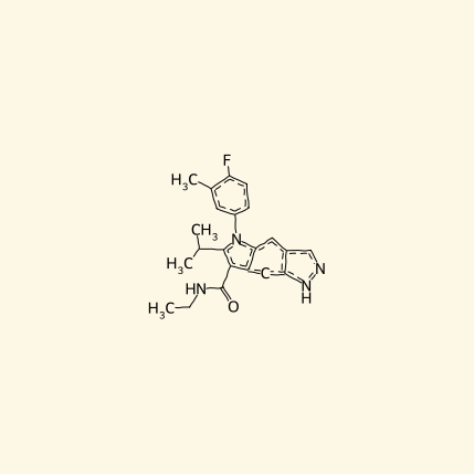 CCNC(=O)c1c(C(C)C)n(-c2ccc(F)c(C)c2)c2cc3cn[nH]c3cc12